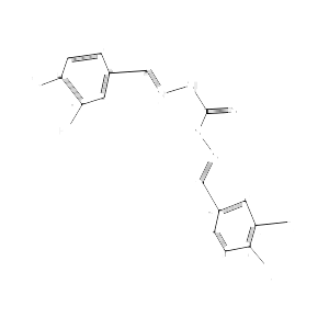 N=C(N/N=C/c1ccc(O)c(O)c1)N/N=C/c1ccc(O)c(O)c1